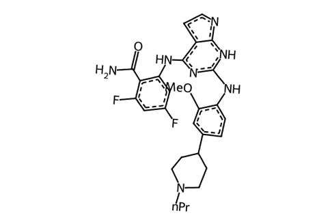 CCCN1CCC(c2ccc(Nc3nc(Nc4cc(F)cc(F)c4C(N)=O)c4ccnc-4[nH]3)c(OC)c2)CC1